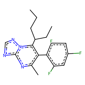 CCCC(CC)c1c(-c2c(F)cc(F)cc2F)c(C)nc2ncnn12